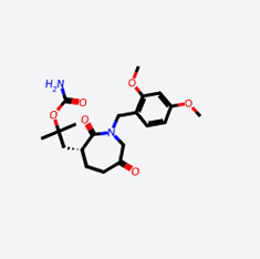 COc1ccc(CN2CC(=O)CC[C@H](CC(C)(C)OC(N)=O)C2=O)c(OC)c1